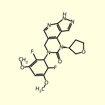 COC1=CC(OC)=C(F)C(N2Cc3cnc4[nH]ncc4c3N([C@H]3CCOC3)C2=O)C1F